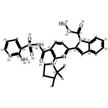 CC1CCN(c2nc(-c3cc4ccccc4n3C(=O)OC(C)(C)C)ccc2C(=O)NS(=O)(=O)c2cccnc2N)C1(C)C